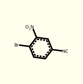 [C-]#[N+]c1ccc(Br)c([N+](=O)[O-])c1